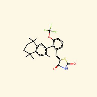 Cc1cc2c(cc1-c1c(C=C3SC(=O)NC3=O)cccc1OC(F)(F)F)C(C)(C)CCC2(C)C